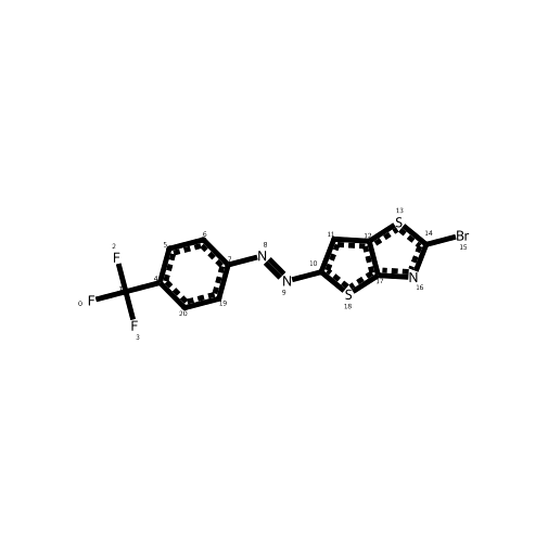 FC(F)(F)c1ccc(N=Nc2cc3sc(Br)nc3s2)cc1